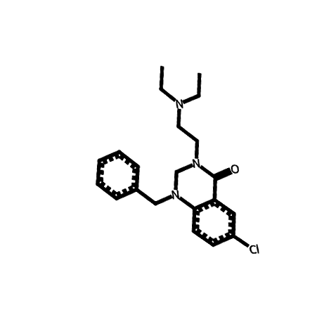 CCN(CC)CCN1CN(Cc2ccccc2)c2ccc(Cl)cc2C1=O